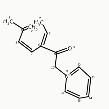 C=C(C)/C=C\C(=C/C)C(=O)C[n+]1ccccc1